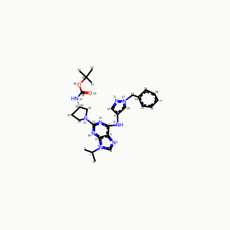 CC(C)n1cnc2c(Nc3cnn(Cc4ccccc4)c3)nc(N3CC[C@H](NC(=O)OC(C)(C)C)C3)nc21